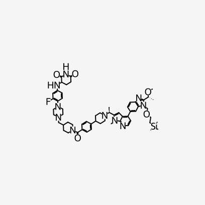 CO[C@H](C)c1nc2ccc(-c3ccnc4c3cc([C@H](C)N3CCC(c5ccc(C(=O)N6CCC(CN7CCN(c8ccc(NC9CCC(=O)NC9=O)cc8F)CC7)CC6)cc5)CC3)n4C)cc2n1COCC[Si](C)(C)C